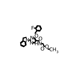 CCOC(=O)CNC(=O)c1cnc(N2CCc3ccccc32)nc1OCc1ccccc1F